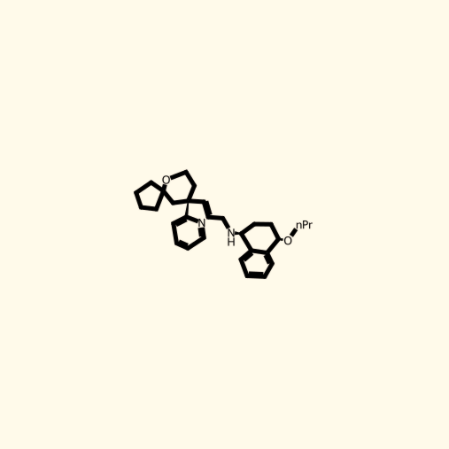 CCCO[C@H]1CC[C@H](NC/C=C/[C@@]2(c3ccccn3)CCOC3(CCCC3)C2)c2ccccc21